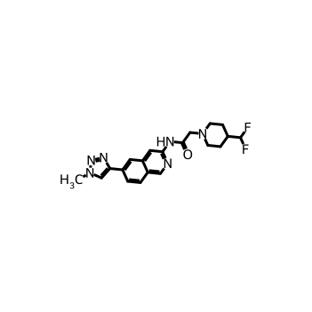 Cn1cc(-c2ccc3cnc(NC(=O)CN4CCC(C(F)F)CC4)cc3c2)nn1